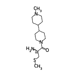 CSC[C@@H](N)C(=O)N1CCC(C2CCN(C)CC2)CC1